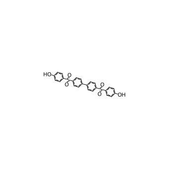 O=S(=O)(c1ccc(O)cc1)c1ccc(-c2ccc(S(=O)(=O)c3ccc(O)cc3)cc2)cc1